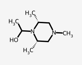 CC(O)N1[C@H](C)CN(C)C[C@@H]1C